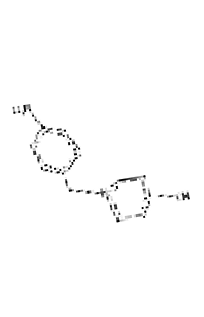 N#Cc1cc[n+](Cc2ccc([N+](=O)[O-])cc2)cc1